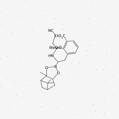 CCOC(=O)c1cccc(CC(NC(=O)CCC#N)B2OC3CC4CC(C4(C)C)C3(C)O2)c1OC